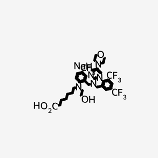 O=C(O)CCCCCCN(CCO)c1ccc(C(F)(F)F)cc1CN(Cc1cc(C(F)(F)F)cc(C(F)(F)F)c1)c1ncc(N2CCOCC2)cn1.[NaH]